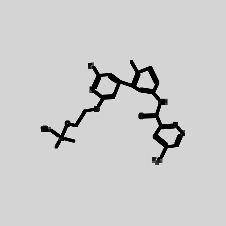 Cc1ccc(NC(=O)c2cc(C(F)(F)F)cnn2)cc1-c1cc(Cl)nc(OCCO[Si](C)(C)C(C)(C)C)c1